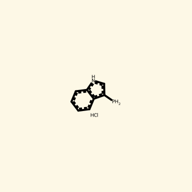 Cl.Pc1c[nH]c2ccccc12